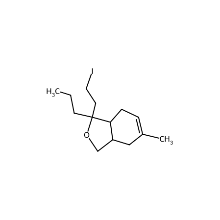 CCCC1(CCI)OCC2CC(C)=CCC21